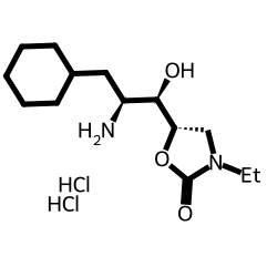 CCN1C[C@@H]([C@H](O)[C@@H](N)CC2CCCCC2)OC1=O.Cl.Cl